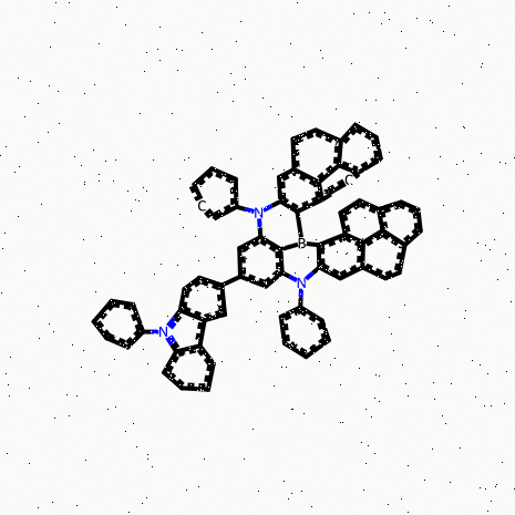 c1ccc(N2c3cc(-c4ccc5c(c4)c4ccccc4n5-c4ccccc4)cc4c3B(c3c2cc2ccc5cccc6ccc3c2c56)c2c(cc3ccc5cccc6ccc2c3c56)N4c2ccccc2)cc1